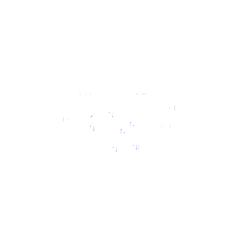 CCC[C@@H](C(=O)O)N(Cc1ncc(C)c(OC)c1C)c1nc(N)ncc1[N+](=O)[O-]